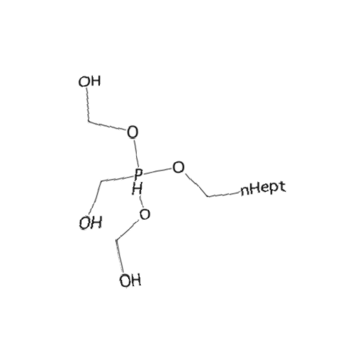 CCCCCCCCO[PH](CO)(OCO)OCO